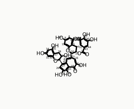 O=C(O[C@H]1Cc2c(O)cc(O)cc2O[C@@H]1c1cc(O)c(=O)c2c(O)c(O)cc([C@H]3Oc4cc(O)cc(O)c4C[C@H]3O)c2c1)c1cc(O)c(O)c(O)c1